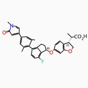 Cc1cc(-c2ccn(C)c(=O)c2)cc(C)c1-c1ccc(F)c2c1CC[C@H]2Oc1ccc2c(c1)OC[C@H]2C(C)C(=O)O